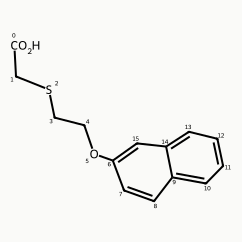 O=C(O)CSCCOc1ccc2ccccc2c1